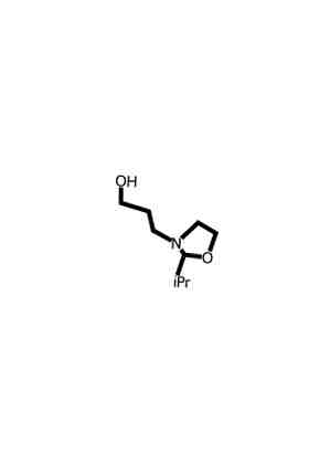 CC(C)C1OCCN1CCCO